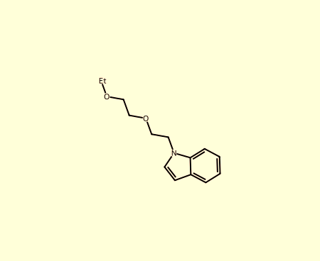 CCOCCOCCn1ccc2ccccc21